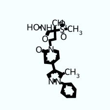 Cc1c(-c2ccn(CCC(C)(C(=O)NO)S(C)(=O)=O)c(=O)c2)cnn1-c1ccccc1